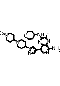 CCc1nc2c(N)ncc(-c3cnn(C4CCN(C5CCN(CC)CC5)CC4)c3)c2nc1NC1CCOCC1